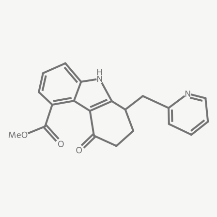 COC(=O)c1cccc2[nH]c3c(c12)C(=O)CCC3Cc1ccccn1